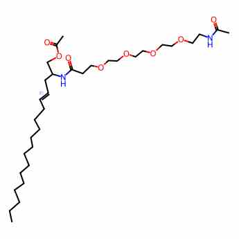 CCCCCCCCCCCCC/C=C/CC(COC(C)=O)NC(=O)CCOCCOCCOCCOCCNC(C)=O